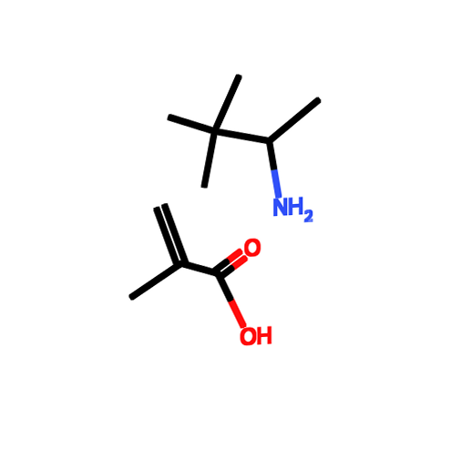 C=C(C)C(=O)O.CC(N)C(C)(C)C